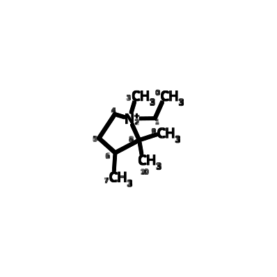 CC[N+]1(C)CCC(C)C1(C)C